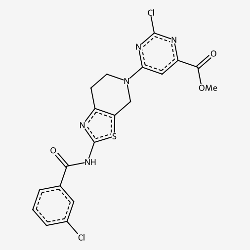 COC(=O)c1cc(N2CCc3nc(NC(=O)c4cccc(Cl)c4)sc3C2)nc(Cl)n1